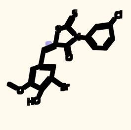 COc1cc(/C=C2/SC(=S)N(c3cccc(Cl)c3)C2=O)cc(Br)c1O